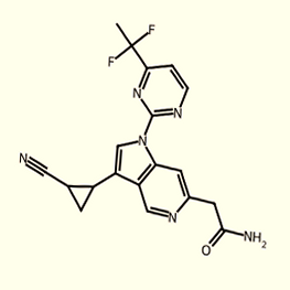 CC(F)(F)c1ccnc(-n2cc(C3CC3C#N)c3cnc(CC(N)=O)cc32)n1